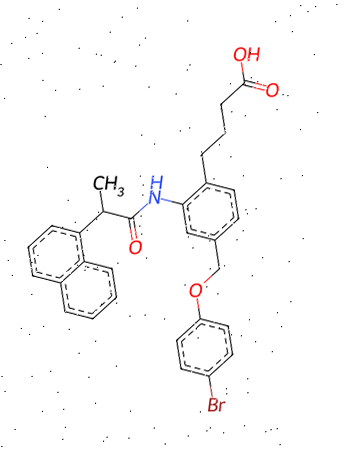 CC(C(=O)Nc1cc(COc2ccc(Br)cc2)ccc1CCCC(=O)O)c1cccc2ccccc12